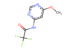 COc1cc(NC(=O)C(F)(F)F)ncn1